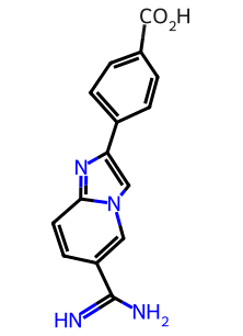 N=C(N)c1ccc2nc(-c3ccc(C(=O)O)cc3)cn2c1